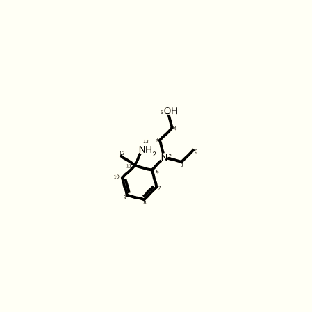 CCN(CCO)C1C=CC=CC1(C)N